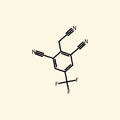 N#CCc1c(C#N)cc(C(F)(F)F)cc1C#N